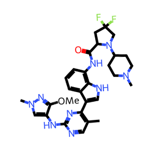 COc1nn(C)cc1Nc1ncc(C)c(-c2c[nH]c3c(NC(=O)C4CC(F)(F)CN4C4CCN(C)CC4)cccc23)n1